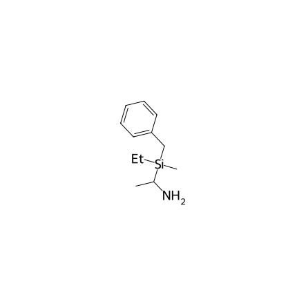 CC[Si](C)(Cc1ccccc1)C(C)N